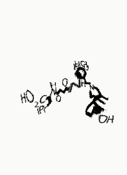 CC(C)CC(NC(=O)CCC(=O)Nc1ccccc1CCN1CCC(C)(c2cccc(O)c2)C(C)C1)C(=O)O.Cl.O